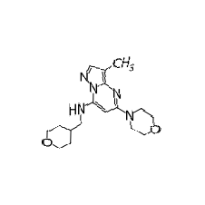 Cc1cnn2c(NCC3CCOCC3)cc(N3CCOCC3)nc12